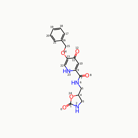 O=C1NCC(CNC(=O)c2cc(=O)c(OCc3ccccc3)c[nH]2)O1